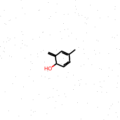 C=C1C=C(C)C=CC1O